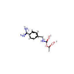 CC(=O)OC(=O)NCc1ccc(C(=N)N)cc1